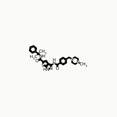 CN1CCN(Cc2ccc(C(=O)Nc3n[nH]c4sc(C(=O)NC(C)(C)c5ccccc5)cc34)cc2)CC1